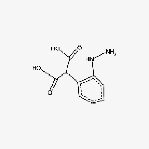 NNc1ccccc1C(C(=O)O)C(=O)O